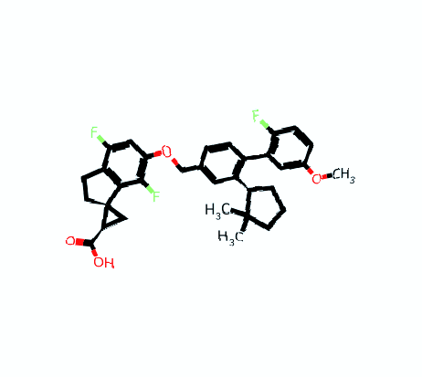 COc1ccc(F)c(-c2ccc(COc3cc(F)c4c(c3F)[C@]3(CC4)C[C@H]3C(=O)O)cc2[C@H]2CCCC2(C)C)c1